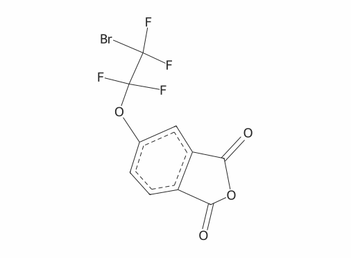 O=C1OC(=O)c2cc(OC(F)(F)C(F)(F)Br)ccc21